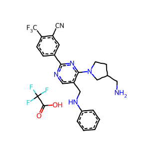 N#Cc1cc(-c2ncc(CNc3ccccc3)c(N3CCC(CN)C3)n2)ccc1C(F)(F)F.O=C(O)C(F)(F)F